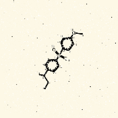 CCC(C)c1ccc(S(=O)(=O)c2ccc(OC)cc2)cc1